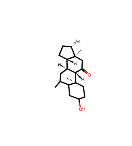 CC(=O)[C@H]1CC[C@H]2[C@@H]3CC(C)C4CC(O)CC[C@]4(C)[C@H]3C(=O)C[C@]12C